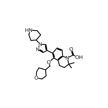 CC1(C)CCc2c(ccc(-c3cnn(C4CCNCC4)c3)c2OCC2CCOCC2)N1C(=O)O